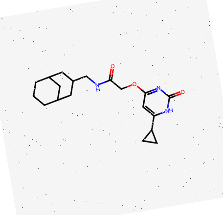 O=C(COc1cc(C2CC2)[nH]c(=O)n1)NCC1CC2CCCC(C2)C1